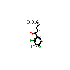 CCOC(=O)CCCC(=O)c1ccc(F)c(F)c1F